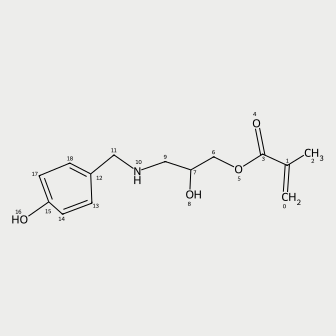 C=C(C)C(=O)OCC(O)CNCc1ccc(O)cc1